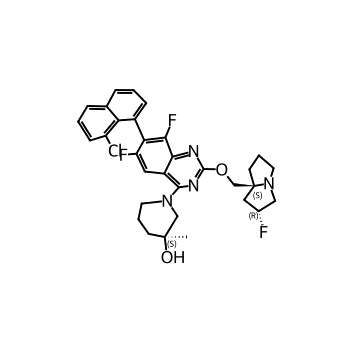 C[C@]1(O)CCCN(c2nc(OC[C@@]34CCCN3C[C@H](F)C4)nc3c(F)c(-c4cccc5cccc(Cl)c45)c(F)cc23)C1